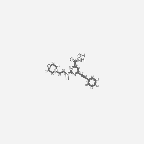 O=C(NO)c1cc(C#Cc2ccccc2)nc(NCCN2CCOCC2)n1